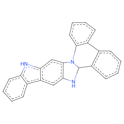 c1ccc2c(c1)-c1ccccc1N1c3cc4[nH]c5ccccc5c4cc3NC21